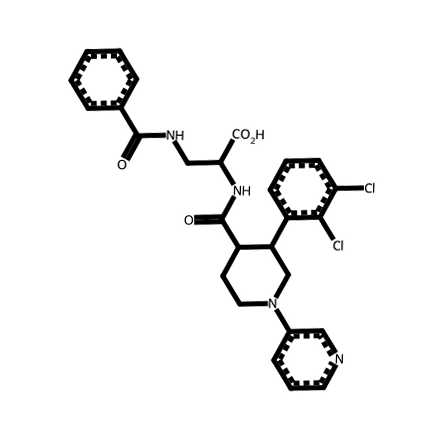 O=C(NCC(NC(=O)C1CCN(c2cccnc2)CC1c1cccc(Cl)c1Cl)C(=O)O)c1ccccc1